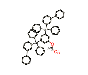 OBOc1cc([Si](c2ccccc2)(c2ccccc2)c2cccc(-c3ccccc3)c2)cc([Si](c2ccccc2)(c2ccccc2)c2cccc(-c3ccccc3)c2)c1